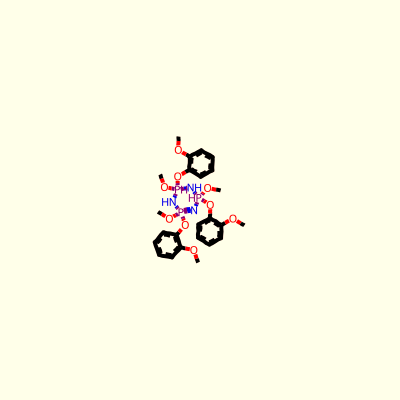 COc1ccccc1OP1(OC)=N[PH](OC)(Oc2ccccc2OC)N[PH](OC)(Oc2ccccc2OC)N1